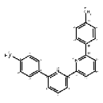 Cc1ccc(-c2cccc(-c3cccc(-c4ccc(C)cc4)n3)n2)cc1